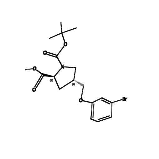 COC(=O)[C@@H]1C[C@@H](COc2cccc(Br)c2)CN1C(=O)OC(C)(C)C